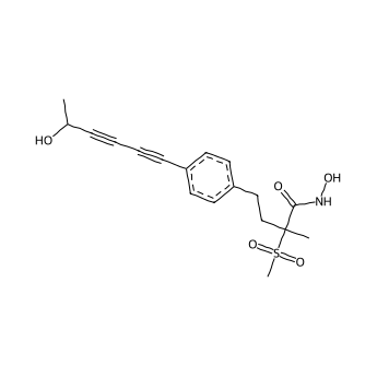 CC(O)C#CC#Cc1ccc(CCC(C)(C(=O)NO)S(C)(=O)=O)cc1